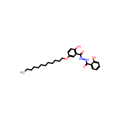 CCCCCCCCCCCCOc1ccc(O)c(C(=O)NNC(=O)c2ccccc2O)c1